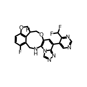 Fc1ccc2c3c1CNc1c(cc(-c4cncnc4C(F)F)c4nncn14)OC[C@@H]3CO2